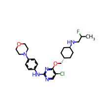 CC(F)CN[C@H]1CC[C@H](COc2nc(Nc3ccc(N4CCOCC4)cc3)ncc2Cl)CC1